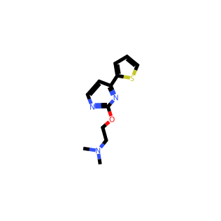 CN(C)CCOc1nccc(-c2cccs2)n1